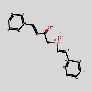 O=C(C=Cc1ccccc1)C[S+]([O-])C=Cc1ccccc1